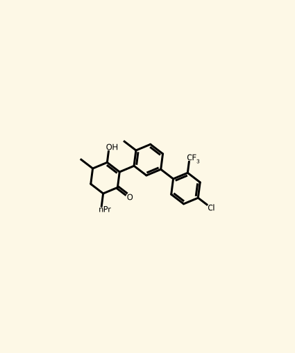 CCCC1CC(C)C(O)=C(c2cc(-c3ccc(Cl)cc3C(F)(F)F)ccc2C)C1=O